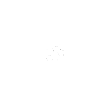 O=C(O)Oc1ccc2c3c(Cl)c(Cl)c(OC(=O)O)c4c(OC(=O)O)c(Cl)c(Cl)c(c5c(Cl)cc(OC(=O)O)c1c25)c43